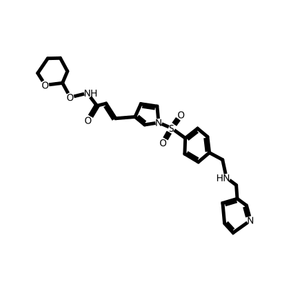 O=C(C=Cc1ccn(S(=O)(=O)c2ccc(CNCc3cccnc3)cc2)c1)NOC1CCCCO1